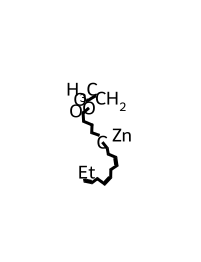 C=C(C)C(=O)OC(=O)CCCCCCC/C=C\C/C=C\C/C=C\CC.[Zn]